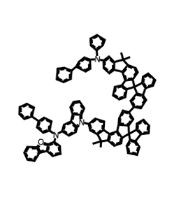 CC1(C)c2cc(N(c3ccccc3)c3ccc(-c4ccccc4)cc3)ccc2-c2c1ccc1c2-c2ccccc2C12c1ccccc1-c1ccc(-c3ccc4c(c3)C3(c5ccccc5-c5ccccc53)c3ccc5c(c3-4)-c3ccc(-n4c6ccccc6c6cc(N(c7ccc(-c8ccccc8)cc7)c7cccc8c7oc7ccccc78)ccc64)cc3C5(C)C)cc12